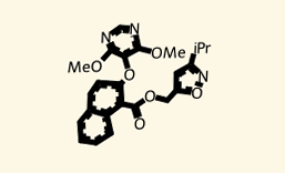 COc1ncnc(OC)c1Oc1ccc2ccccc2c1C(=O)OCc1cc(C(C)C)no1